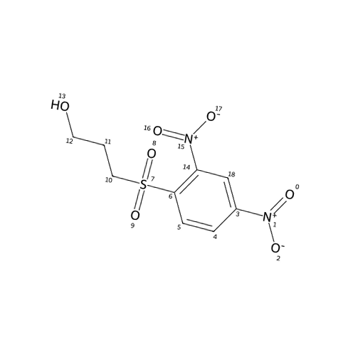 O=[N+]([O-])c1ccc(S(=O)(=O)CCCO)c([N+](=O)[O-])c1